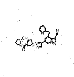 CN1CCC[C@H]1C(=O)N1CC[C@H](n2cc(-c3cc(Sc4ccccn4)c4c(C#N)cnn4c3)cn2)C1